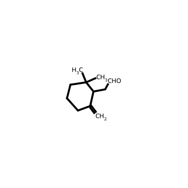 C=C1CCCC(C)(C)C1CC=O